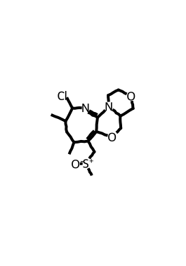 CC1CC(C)C(Cl)/N=C2\C(=C/1C[S+](C)[O-])OCC1COCCN21